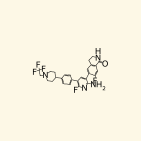 Nc1nc(F)c(-c2ccc(C3CCN(CC(F)(F)F)CC3)cc2)cc1-c1cc2c(cc1F)C(=O)NCC2